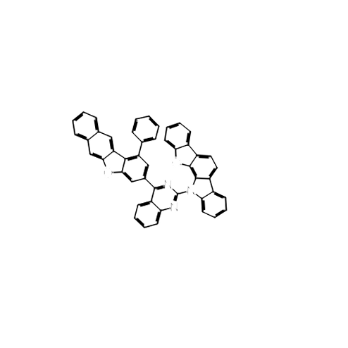 c1ccc(-c2cc(-c3nc(-n4c5ccccc5c5ccc6c7ccccc7oc6c54)nc4ccccc34)cc3oc4cc5ccccc5cc4c23)cc1